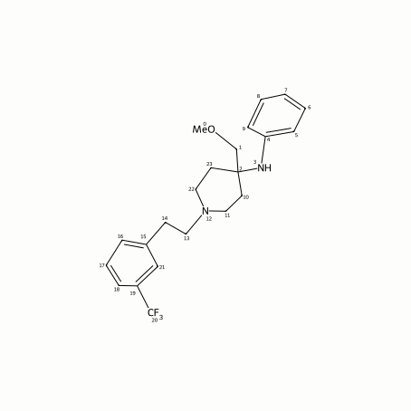 COCC1(Nc2ccccc2)CCN(CCc2cccc(C(F)(F)F)c2)CC1